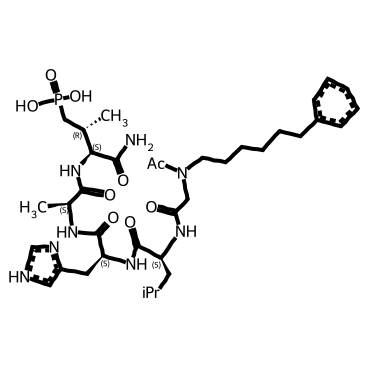 CC(=O)N(CCCCCCc1ccccc1)CC(=O)N[C@@H](CC(C)C)C(=O)N[C@@H](Cc1c[nH]cn1)C(=O)N[C@@H](C)C(=O)N[C@H](C(N)=O)[C@@H](C)CP(=O)(O)O